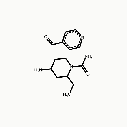 CCC1CC(N)CCN1C(N)=O.O=Cc1ccncc1